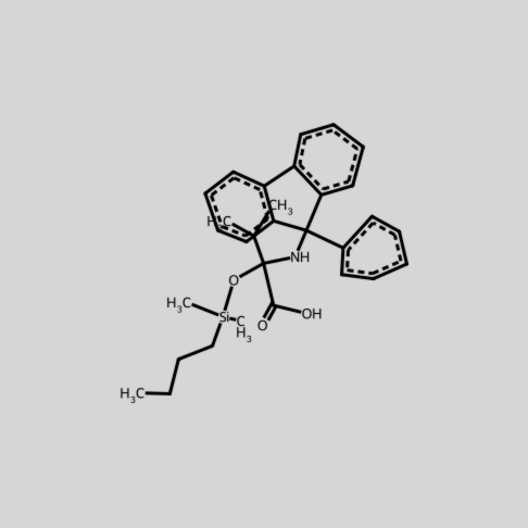 CCCC[Si](C)(C)OC(NC1(c2ccccc2)c2ccccc2-c2ccccc21)(C(=O)O)C(C)C